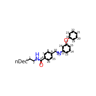 CCCCCCCCCCCCNC(=O)c1ccc(C[N]c2cccc(Oc3ccccc3)c2)cc1